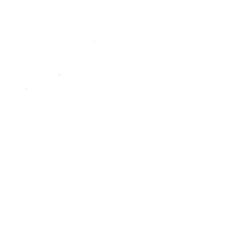 C#Cc1cc(C#C)cc(C23CC4(C)CC(C)(C2)CC(C25CC6CC(C)(CC(C)(C6)C2)C5)(C4)C3)c1